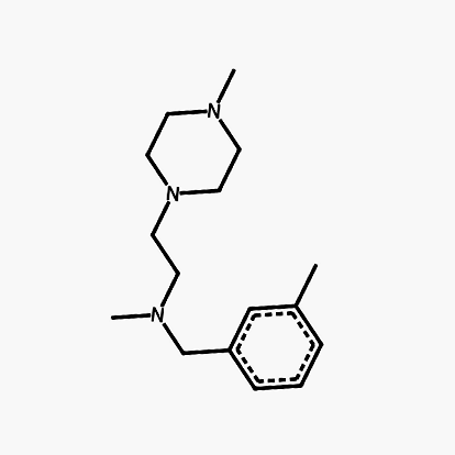 Cc1cccc(CN(C)CCN2CCN(C)CC2)c1